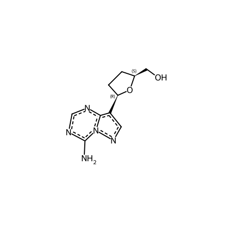 Nc1ncnc2c([C@H]3CC[C@@H](CO)O3)cnn12